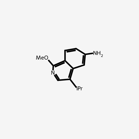 COc1ncc(C(C)C)c2cc(N)ccc12